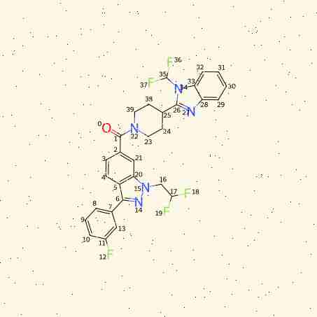 O=C(c1ccc2c(-c3cccc(F)c3)nn(CC(F)F)c2c1)N1CCC(c2nc3ccccc3n2C(F)F)CC1